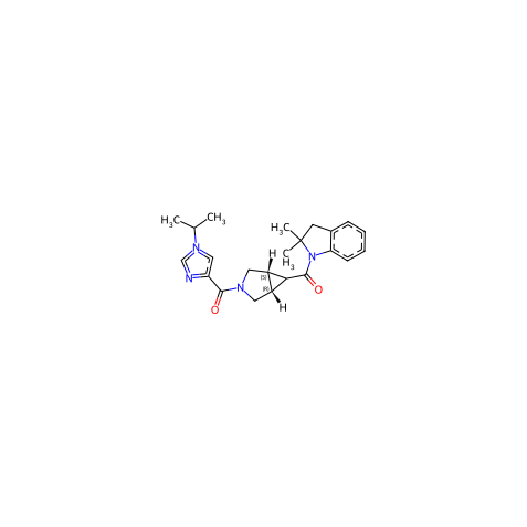 CC(C)n1cnc(C(=O)N2C[C@@H]3C(C(=O)N4c5ccccc5CC4(C)C)[C@@H]3C2)c1